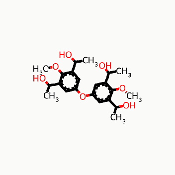 COc1c(C(C)O)cc(Oc2cc(C(C)O)c(OC)c(C(C)O)c2)cc1C(C)O